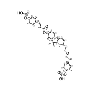 CC1(C)c2cc(OCOC=Cc3ccc(OC(=O)O)cc3)ccc2-c2ccc(OC(=O)C=Cc3ccc(OC(=O)O)cc3)cc21